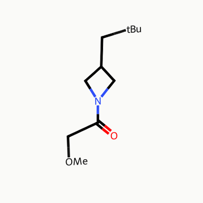 COCC(=O)N1CC(CC(C)(C)C)C1